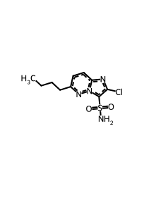 CCCCc1ccc2nc(Cl)c(S(N)(=O)=O)n2n1